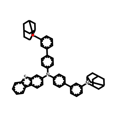 c1cc(-c2ccc(N(c3ccc(-c4cccc(N5C6CC7CC(C6)CC5C7)c4)cc3)c3ccc4c(c3)sc3ccccc34)cc2)cc(N2C3CC4CC(C3)CC2C4)c1